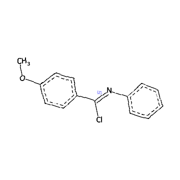 COc1ccc(/C(Cl)=N/c2ccccc2)cc1